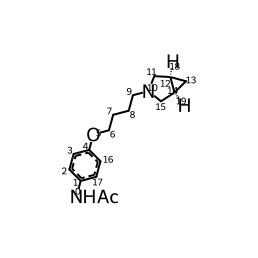 CC(=O)Nc1ccc(OCCCCN2C[C@H]3C[C@H]3C2)cc1